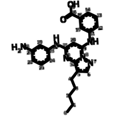 CCCCCc1cnn2c(Nc3cccc(C(=O)O)c3)cc(Nc3cccc(N)c3)nc12